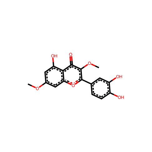 COc1cc(O)c2c(=O)c(OC)c(-c3ccc(O)c(O)c3)oc2c1